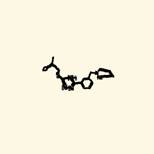 CC(=O)CSc1nnc(-c2cccc(Cn3cccn3)c2)[nH]1